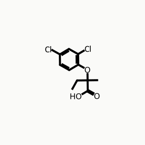 CCC(C)(Oc1ccc(Cl)cc1Cl)C(=O)O